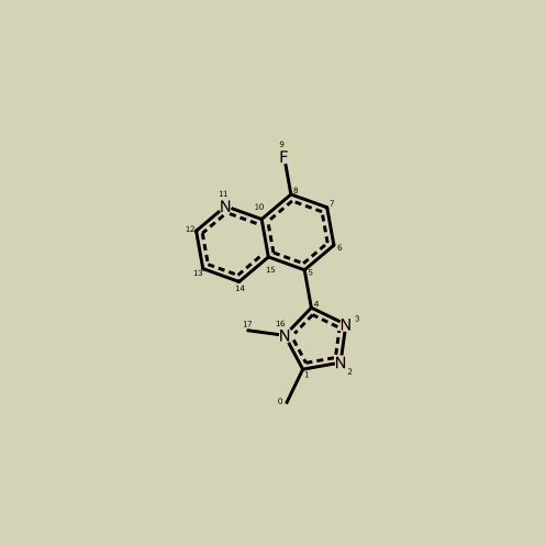 Cc1nnc(-c2ccc(F)c3ncccc23)n1C